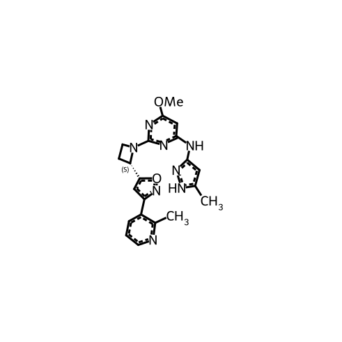 COc1cc(Nc2cc(C)[nH]n2)nc(N2CC[C@H]2c2cc(-c3cccnc3C)no2)n1